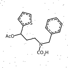 CC(=O)OC(CCN(Cc1ccccc1)C(=O)O)c1cccs1